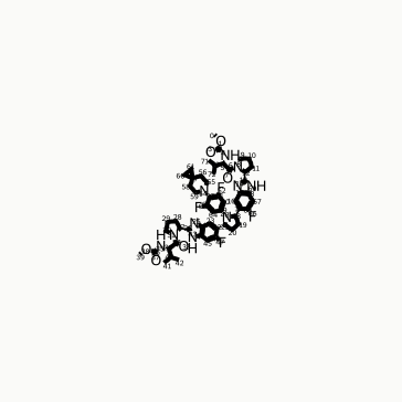 COC(=O)N[C@H](C(=O)N1CCC[C@H]1c1nc2cc([C@H]3CC[C@H](c4cc5nc([C@@H]6CCCN6C(=O)[C@@H](NC(=O)OC)C(C)C)[nH]c5cc4F)N3c3cc(F)c(N4CCC5(CC4)CC5)c(F)c3)c(F)cc2[nH]1)C(C)C